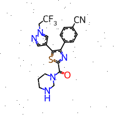 N#Cc1ccc(-c2nc(C(=O)N3CCCNC3)sc2-c2cnn(CC(F)(F)F)c2)cc1